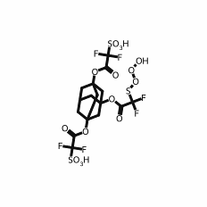 O=C(OC12CC3CC(OC(=O)C(F)(F)S(=O)(=O)O)(C1)CC(OC(=O)C(F)(F)S(=O)(=O)O)(C3)C2)C(F)(F)SOOO